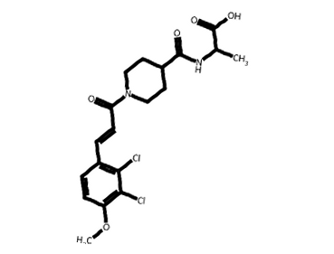 COc1ccc(C=CC(=O)N2CCC(C(=O)NC(C)C(=O)O)CC2)c(Cl)c1Cl